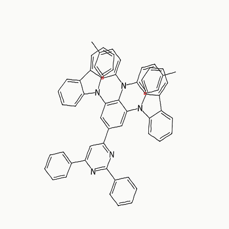 Cc1ccc(N(c2ccc(C)cc2)c2c(-n3c4ccccc4c4ccccc43)cc(-c3cc(-c4ccccc4)nc(-c4ccccc4)n3)cc2-n2c3ccccc3c3ccccc32)cc1